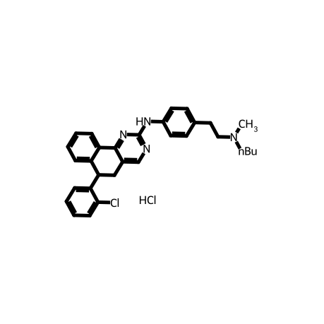 CCCCN(C)CCc1ccc(Nc2ncc3c(n2)-c2ccccc2C(c2ccccc2Cl)C3)cc1.Cl